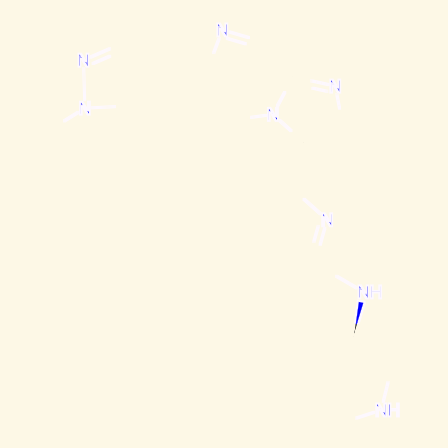 Cn1cc(-c2cn3c(-c4cccc(N[C@@H]5CCCNC5)n4)cnc3cn2)cn1